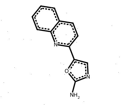 Nc1ncc(-c2ccc3ccccc3n2)o1